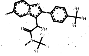 [2H]C(C(=O)N(C)C([2H])([2H])[2H])c1c(-c2ccc(C([2H])([2H])[2H])cc2)nc2ccc(C)cn12